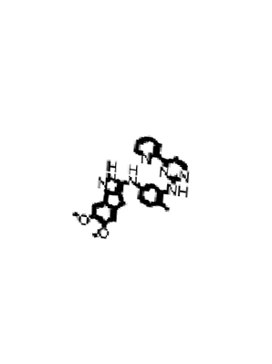 COc1cc2c(cc1OC)-c1n[nH]c(Nc3ccc(C)c(Nc4nccc(-c5ccccn5)n4)c3)c1C2